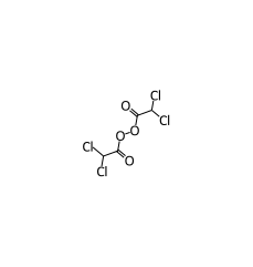 O=C(OOC(=O)C(Cl)Cl)C(Cl)Cl